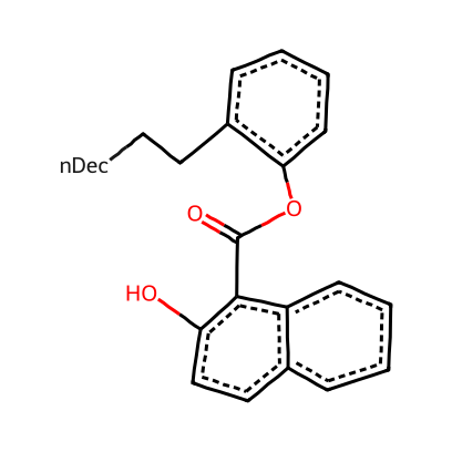 CCCCCCCCCCCCc1ccccc1OC(=O)c1c(O)ccc2ccccc12